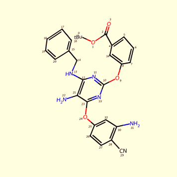 CC(C)(C)OC(=O)c1cccc(Oc2nc(NCc3ccccc3)c(N)c(Oc3ccc(C#N)c(N)c3)n2)c1